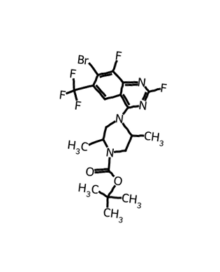 CC1CN(c2nc(F)nc3c(F)c(Br)c(C(F)(F)F)cc23)C(C)CN1C(=O)OC(C)(C)C